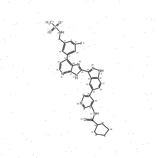 CS(=O)(=O)NCc1cc(F)cc(-c2ccnc3[nH]c(-c4n[nH]c5ccc(-c6cncc(NC(=O)C7CCCCC7)c6)cc45)nc23)c1